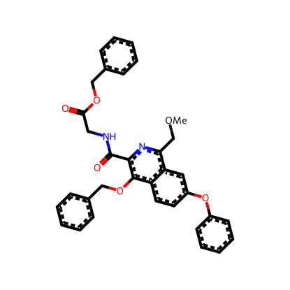 COCc1nc(C(=O)NCC(=O)OCc2ccccc2)c(OCc2ccccc2)c2ccc(Oc3ccccc3)cc12